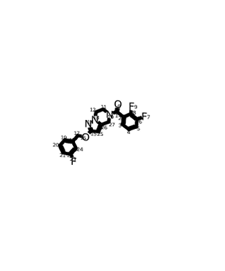 O=C(c1cccc(F)c1F)N1CCn2nc(OCc3cccc(F)c3)cc2C1